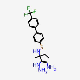 CCC(C)(NSc1ccc(-c2ccc(C(F)(F)F)cc2)cc1)/C(=C/N)NN